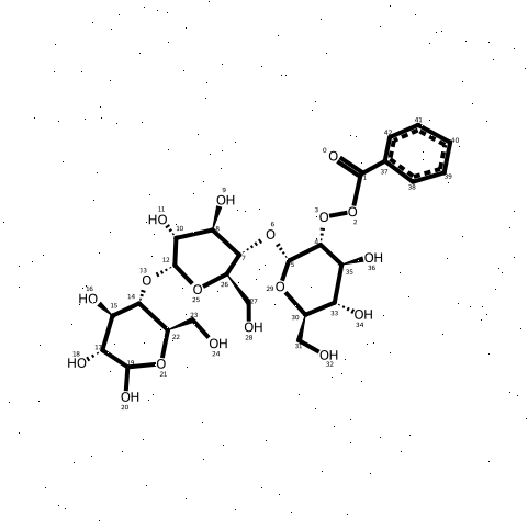 O=C(OO[C@H]1[C@@H](O[C@H]2[C@H](O)[C@@H](O)[C@@H](O[C@H]3[C@H](O)[C@@H](O)C(O)O[C@@H]3CO)O[C@@H]2CO)O[C@H](CO)[C@@H](O)[C@@H]1O)c1ccccc1